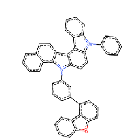 c1ccc(-n2c3ccccc3c3c4c5ccc6ccccc6c5n(-c5cccc(-c6cccc7oc8ccccc8c67)c5)c4ccc32)cc1